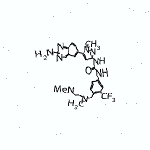 CNCCN(C)Cc1ccc(NC(=O)Nc2cc(-c3ccc4nc(N)ncc4c3)n(C)n2)cc1C(F)(F)F